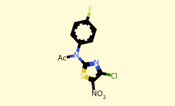 CC(=O)N(c1ccc(F)cc1)c1nc(Cl)c([N+](=O)[O-])s1